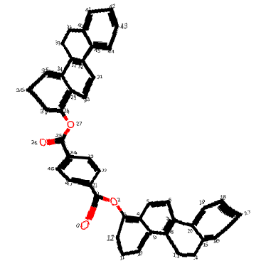 O=C(OC1=c2ccc3c(c2=CCC1)CCc1ccccc1-3)c1ccc(C(=O)OC2=c3ccc4c(c3=CCC2)CCc2ccccc2-4)cc1